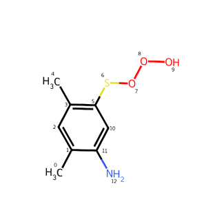 Cc1cc(C)c(SOOO)cc1N